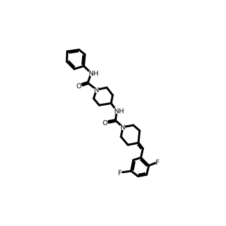 O=C(Nc1ccccc1)N1CCC(NC(=O)N2CCC(=Cc3cc(F)ccc3F)CC2)CC1